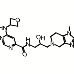 Cn1cnc2c1CCN(CC(O)CNC(=O)c1cc(NC3COC3)ncn1)C2